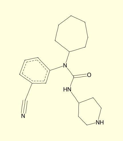 N#Cc1cccc(N(C(=O)NC2CCNCC2)C2CCCCCC2)c1